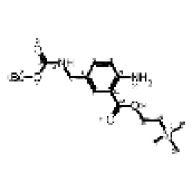 CC(C)(C)OC(=O)NCc1ccc(N)c(C(=O)OCC[Si](C)(C)C)c1